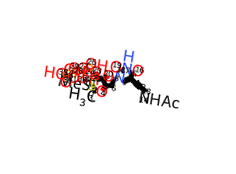 CSS[C@@H](C)OC1CC(n2cc(C#CCNC(C)=O)c(=O)[nH]c2=O)OC1COP(=O)(O)OP(=O)(O)OP(=O)(O)O